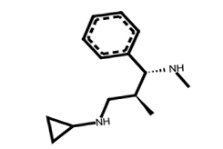 CN[C@@H](c1ccccc1)[C@@H](C)CNC1CC1